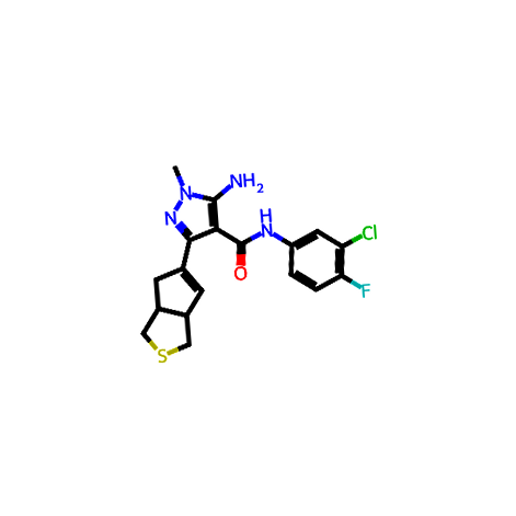 Cn1nc(C2=CC3CSCC3C2)c(C(=O)Nc2ccc(F)c(Cl)c2)c1N